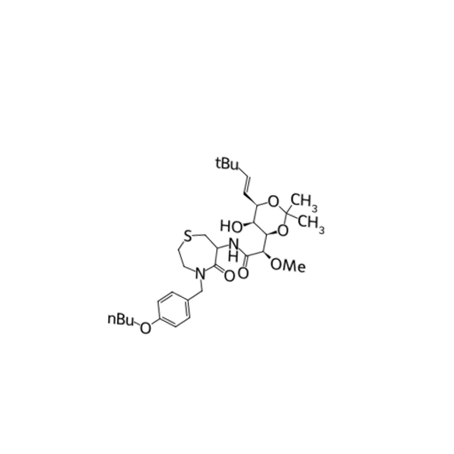 CCCCOc1ccc(CN2CCSCC(NC(=O)[C@H](OC)[C@@H]3OC(C)(C)O[C@H](/C=C/C(C)(C)C)[C@@H]3O)C2=O)cc1